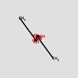 CCCCCCCCCCCCCCCCCCCCCCCCCCCCc1c(C(=O)O)ccc(O)c1Sc1c(O)ccc(C(=O)O)c1CCCCCCCCCCCCCCCCCCCCCCCCCCCC